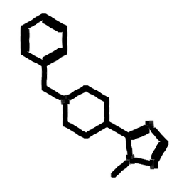 Cn1ncnc1C1CCN(Cc2ccccc2)CC1